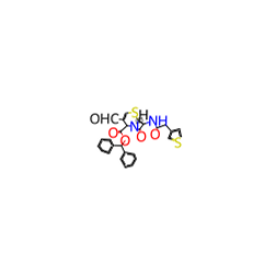 O=CC1=CS[C@H]2C(NC(=O)Cc3ccsc3)C(=O)N2C1C(=O)OC(c1ccccc1)c1ccccc1